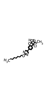 CCCCCCCCOc1ncc(-c2ccc([C@](Cl)(C(=O)O)C(C)CC)cc2)cn1